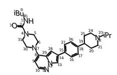 CC[C@@H](C)NC(=O)N1CCN(c2ccnn3cc(-c4ccc(C5CCN(C(C)C)CC5)cc4)cc23)CC1